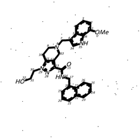 COc1cccc2c(CN3CCc4c(c(C(=O)NCc5cccc6ccccc56)nn4CCO)C3)c[nH]c12